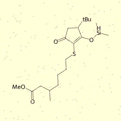 COC(=O)CC(C)CCCCSC1=C(O[SiH](C)C)C(C(C)(C)C)CC1=O